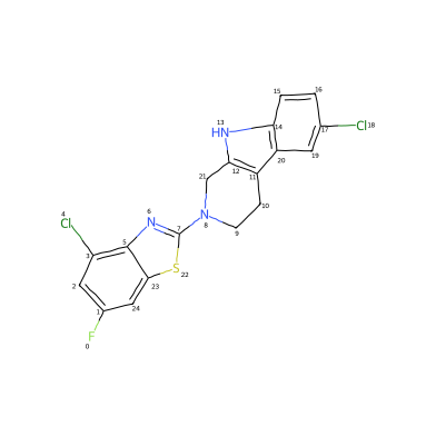 Fc1cc(Cl)c2nc(N3CCc4c([nH]c5ccc(Cl)cc45)C3)sc2c1